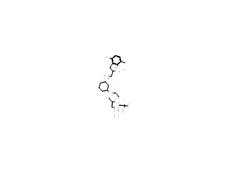 Cc1ccc(F)c2c1NC(C(=O)N[C@@H]1CCC[C@H](N3CCN4C(CNC4C(F)(F)F)C3)C1)C2